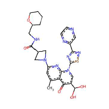 Cc1cc(N2CC(C(=O)NCC3CCCCO3)C2)nc2c1c(=O)c(C(O)O)cn2-c1nc(-c2cnccn2)ns1